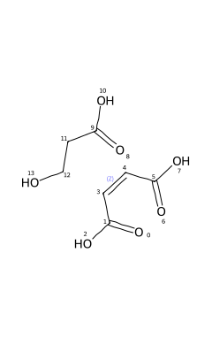 O=C(O)/C=C\C(=O)O.O=C(O)CCO